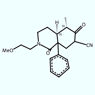 COCCN1CC[C@H]2[C@H](C)C(=O)C(C#N)CC2(c2ccccc2)C1=O